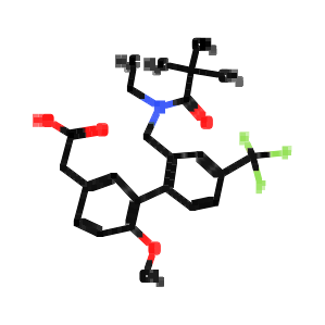 CCN(Cc1cc(C(F)(F)F)ccc1-c1cc(CC(=O)O)ccc1OC)C(=O)C(C)(C)C